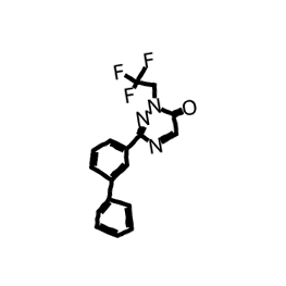 O=c1cnc(-c2cccc(-c3ccccc3)c2)nn1CC(F)(F)F